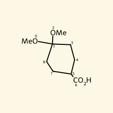 COC1(OC)CCC(C(=O)O)CC1